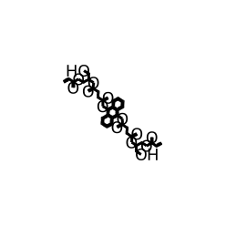 C=CC(=O)OCC(CO)OC(=O)CCC(=O)Oc1c2ccccc2c(OC(=O)CCC(=O)OC(CO)COC(=O)C=C)c2ccccc12